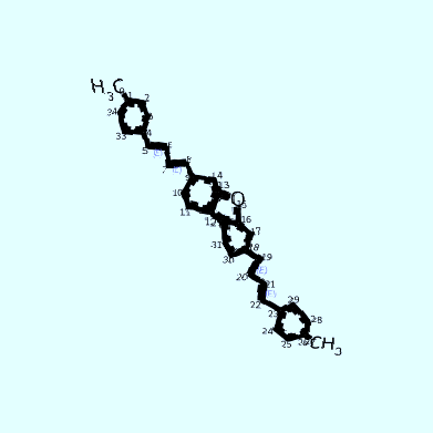 Cc1ccc(/C=C/C=C/c2ccc3c(c2)oc2cc(/C=C/C=C/c4ccc(C)cc4)ccc23)cc1